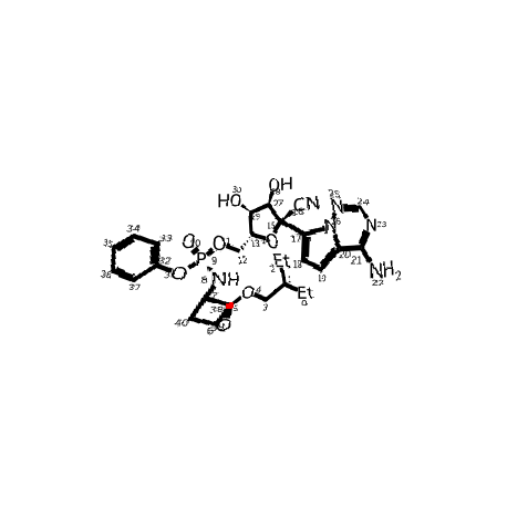 CCC(CC)COC(=O)C1(N[P@@](=O)(OC[C@H]2O[C@@](C#N)(c3ccc4c(N)ncnn34)[C@H](O)[C@@H]2O)Oc2ccccc2)CCC1